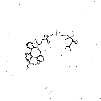 COCC(O)n1nnc2c1-c1ccccc1CN(C(=O)CCC(=O)NCCC(C)(C)OCCC(C)(C)C(=O)C(C)C)c1ccccc1-2